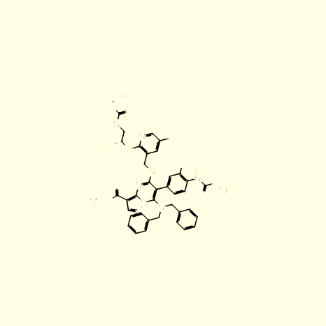 COC(=O)c1cnn2c(N(Cc3ccccc3)Cc3ccccc3)c(-c3ccc(NC(=O)OC(C)(C)C)c(F)c3)c(NCc3cc(F)cnc3O[C@@H](C)CNC(=O)OC(C)(C)C)nc12